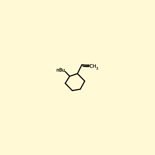 C=C[C]1CCCCC1CCCC